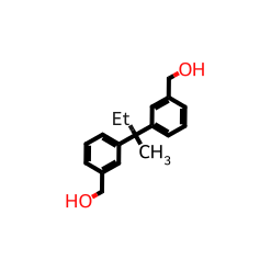 CCC(C)(c1cccc(CO)c1)c1cccc(CO)c1